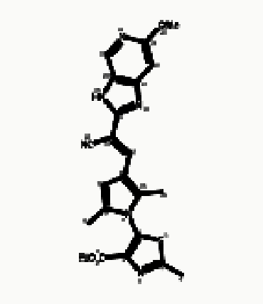 CCOC(=O)c1nc(C)sc1-n1c(C)cc(C=C(C#N)c2nc3cc(OC)ncc3[nH]2)c1C